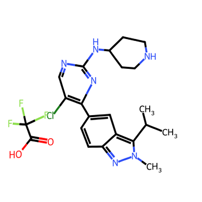 CC(C)c1c2cc(-c3nc(NC4CCNCC4)ncc3Cl)ccc2nn1C.O=C(O)C(F)(F)F